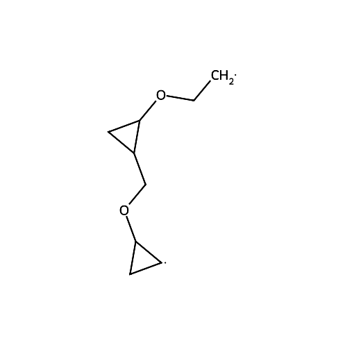 [CH2]COC1CC1COC1[CH]C1